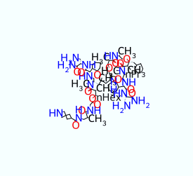 CCCCCC[C@H](OC(=O)CNC(=O)[C@@H](C)CNC(=O)C1CC2(CNC2)C1)[C@@H](C)C(=O)N(C)[C@@H](CC(C)CC1NCC1COC[C@H](C)C(=O)N[C@H](C)CO[C@H](CC1CCCCC1)[C@@H](C)C(=O)N(C)[C@@H](CCC)C(=O)N[C@H](C(=O)N[C@@H](CN)C(N)=O)C1CCCCCC1)C(=O)N[C@H](C(=O)N[C@@H](CN)C(N)=O)C1CCCCC1